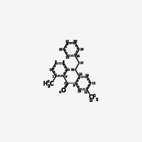 Cc1ccccc1C(=O)c1cc(C(F)(F)F)ccc1CCc1ccccc1